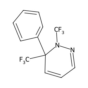 FC(F)(F)N1N=CC=CC1(c1ccccc1)C(F)(F)F